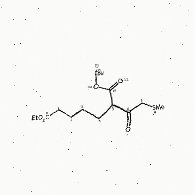 CCOC(=O)CCCCC(C(=O)CSC)C(=O)OC(C)(C)C